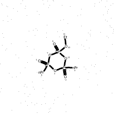 CCCP1(=O)OP(=O)(CCC)OP(=O)(OCC)O1